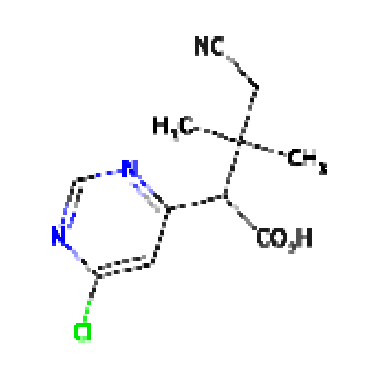 CC(C)(CC#N)C(C(=O)O)c1cc(Cl)ncn1